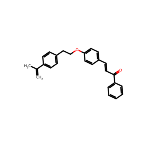 C=C(C)c1ccc(CCOc2ccc(C=CC(=O)c3ccccc3)cc2)cc1